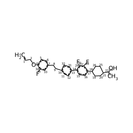 C=CCOc1ccc(CCc2ccc(-c3ccc(C4CCC(C(C)O)CC4)c(F)c3F)cc2)cc1F